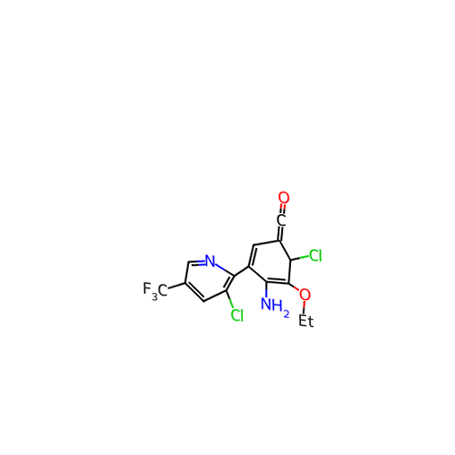 CCOC1=C(N)C(c2ncc(C(F)(F)F)cc2Cl)=CC(=C=O)C1Cl